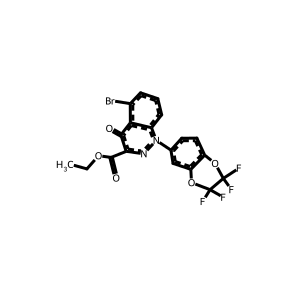 CCOC(=O)c1nn(-c2ccc3c(c2)OC(F)(F)C(F)(F)O3)c2cccc(Br)c2c1=O